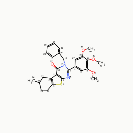 COc1cc(-c2nc3sc4c(c3c(=O)n2Cc2ccccc2)CC(C)CC4)cc(OC)c1OC